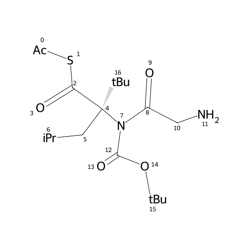 CC(=O)SC(=O)[C@](CC(C)C)(N(C(=O)CN)C(=O)OC(C)(C)C)C(C)(C)C